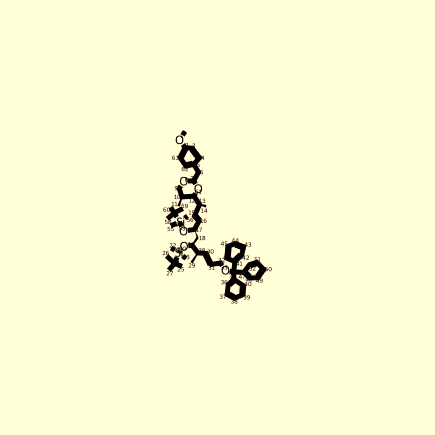 COc1ccc(CC2OC[C@H](C)C([C@@H](C)C=C[C@H](C[C@H](O[Si](C)(C)C(C)(C)C)[C@H](C)C=CCOC(c3ccccc3)(c3ccccc3)c3ccccc3)O[Si](C)(C)C(C)(C)C)O2)cc1